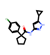 O=C(Nc1cc(C2CC2)[nH]n1)C1(c2ccc(Cl)cc2)CCCC1